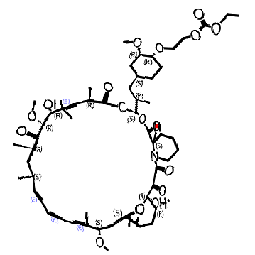 CCOC(=O)OCCO[C@@H]1CC[C@@H](C[C@@H](C)[C@@H]2CC(=O)[C@H](C)/C=C(\C)[C@@H](O)[C@@H](OC)C(=O)[C@H](C)C[C@H](C)/C=C/C=C/C=C(\C)[C@@H](OC)C[C@@H]3CC[C@@H](C)[C@@](O)(O3)C(=O)C(=O)N3CCCC[C@H]3C(=O)O2)C[C@H]1OC